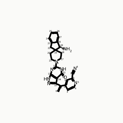 C=C(c1ccnc(C#N)c1)c1n[nH]c2nc(N3CCC4(CC3)Cc3ccccc3[C@H]4N)[nH]c(=O)c12